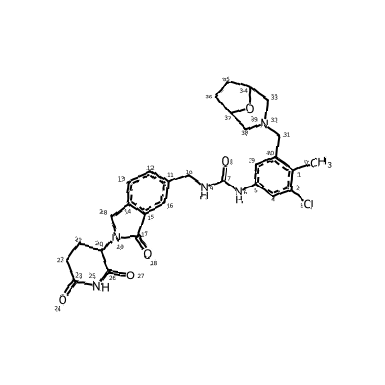 Cc1c(Cl)cc(NC(=O)NCc2ccc3c(c2)C(=O)N(C2CCC(=O)NC2=O)C3)cc1CN1CC2CCC(C1)O2